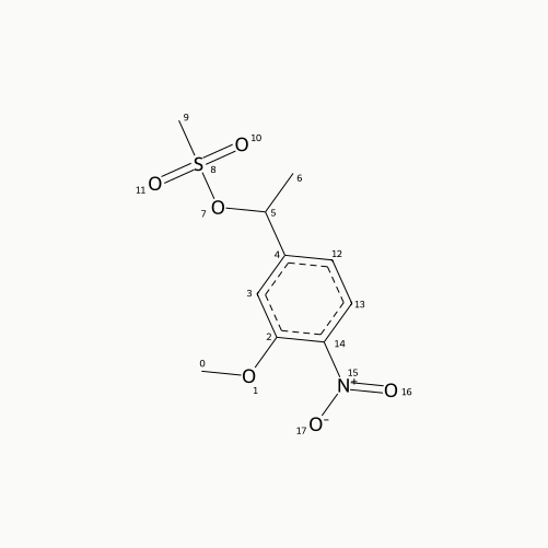 COc1cc(C(C)OS(C)(=O)=O)ccc1[N+](=O)[O-]